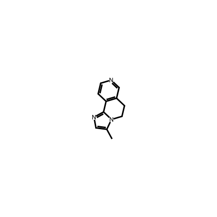 Cc1cnc2n1CCc1cnccc1-2